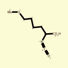 CC(C)(C)OCCCCC(N=C=O)C(=O)O